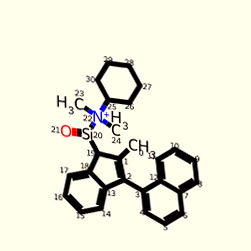 CC1=C(c2cccc3ccccc23)c2ccccc2C1[Si](=O)[N+](C)(C)C1CCCCC1